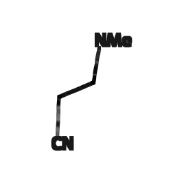 [CH2]NCCC#N